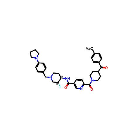 COc1ccc(C(=O)C2CCN(C(=O)c3ccc(C(=O)N[C@@H]4CCN(Cc5ccc(N6CCCC6)cc5)C[C@H]4F)cn3)CC2)cc1